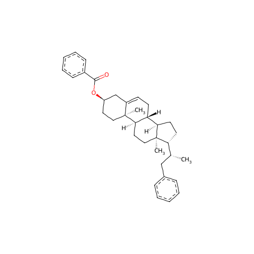 C[C@H](Cc1ccccc1)[C@H]1CC[C@@H]2[C@H]3CC=C4C[C@H](OC(=O)c5ccccc5)CC[C@]4(C)[C@@H]3CC[C@@]21C